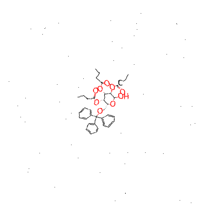 CCCC(=O)O[C@@H]1[C@H](OC(=O)CCC)[C@@H](OC(=O)CCC)C(O)O[C@@H]1COC(c1ccccc1)(c1ccccc1)c1ccccc1